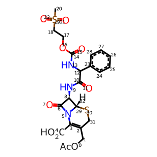 CC(=O)OCC1=C(C(=O)O)N2C(=O)[C@@H](NC(=O)C(NC(=O)OCCS(C)(=O)=O)c3ccccc3)[C@@H]2SC1